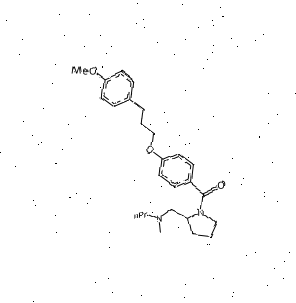 CCCN(C)CC1CCCN1C(=O)c1ccc(OCCCc2ccc(OC)cc2)cc1